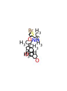 CC(C)[C@H](NC(=O)C[C@@H](C)C1CC[C@H]2C3C(=O)CC4CC(=O)CCC4(C)[C@H]3CCC12C)c1ccc(Br)s1